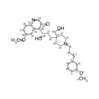 COc1cccc(SCCN2CCC(CO)(CC[C@H](O)c3c(Cl)cnc4ccc(OC)cc34)CC2)c1